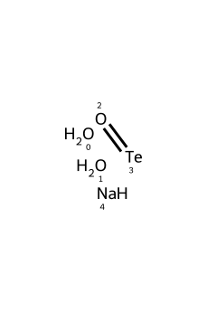 O.O.O=[Te].[NaH]